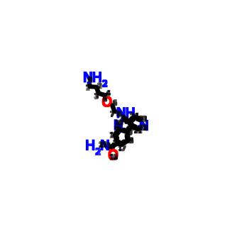 NCCCCOCCNc1nc2cc(C(N)=O)ccc2c2cnccc12